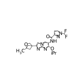 CC(C)Oc1nc2nc(C34COC(C)(C3)C4)cn2cc1NC(=O)c1ccn(C(F)F)n1